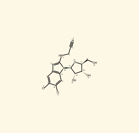 N#CCNc1nc2cc(Cl)c(Cl)cc2n1[C@H]1O[C@@H](CO)[C@H](O)[C@@H]1O